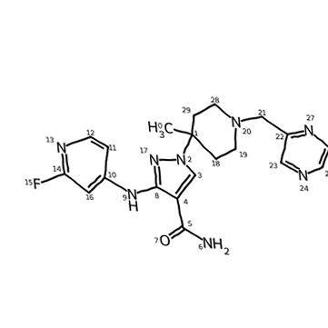 CC1(n2cc(C(N)=O)c(Nc3ccnc(F)c3)n2)CCN(Cc2cnccn2)CC1